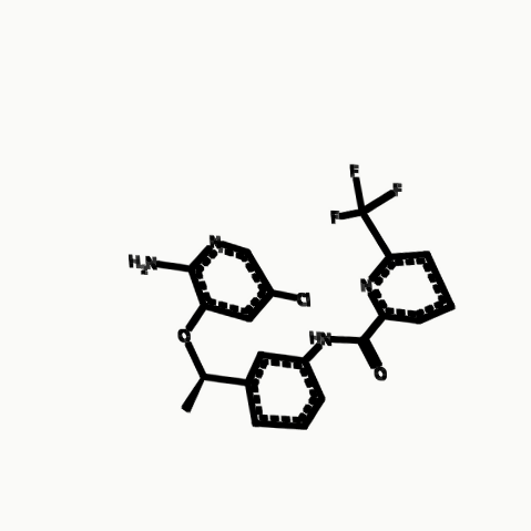 C[C@@H](Oc1cc(Cl)cnc1N)c1cccc(NC(=O)c2cccc(C(F)(F)F)n2)c1